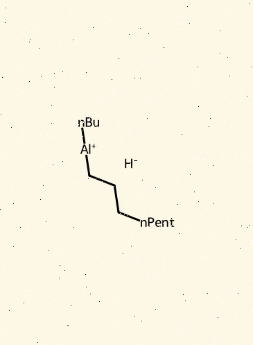 CCCCCCC[CH2][Al+][CH2]CCC.[H-]